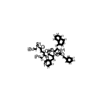 CCC(C)CN(CC)C(=O)C[C@H](O)[C@H](CC(C)C)NC(=O)C(Cc1ccncc1)NC(=O)[C@H](Cc1cccc2ccccc12)NC(=O)OCc1ccccc1